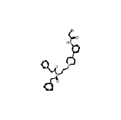 CC(C)CC(=O)Nc1cccc(C2CCN(CCCN(C(=O)Cc3ccccc3)C(=O)Cc3ccccc3)CC2)c1